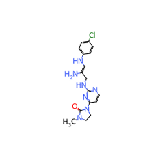 CN1CCN(c2ccnc(NC/C(N)=C/Nc3ccc(Cl)cc3)n2)C1=O